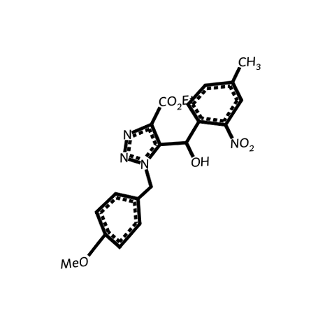 CCOC(=O)c1nnn(Cc2ccc(OC)cc2)c1C(O)c1ccc(C)cc1[N+](=O)[O-]